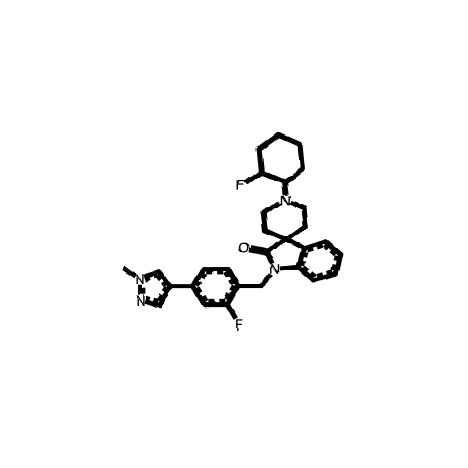 Cn1cc(-c2ccc(CN3C(=O)C4(CCN(C5CCCCC5F)CC4)c4ccccc43)c(F)c2)cn1